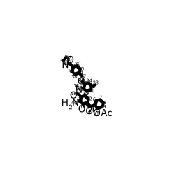 COc1c(C(=O)c2ccccc2OC(C)=O)ccc(C(=O)N(C)c2ccc(C)cc2OCc2ccc(C3=NCCO3)cc2)c1N